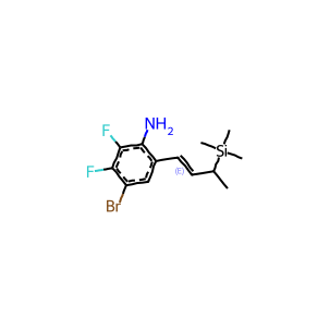 CC(/C=C/c1cc(Br)c(F)c(F)c1N)[Si](C)(C)C